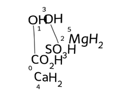 O=C(O)O.O=S(=O)(O)O.[CaH2].[MgH2]